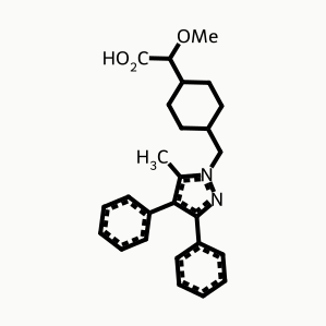 COC(C(=O)O)C1CCC(Cn2nc(-c3ccccc3)c(-c3ccccc3)c2C)CC1